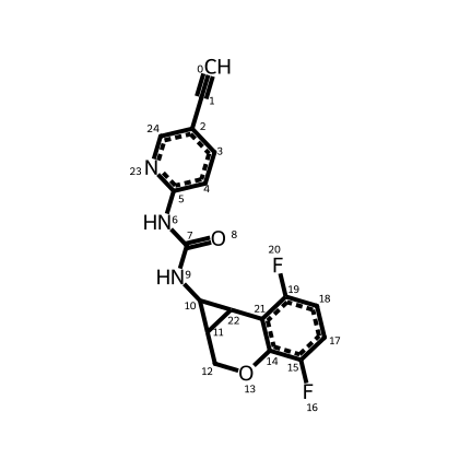 C#Cc1ccc(NC(=O)NC2C3COc4c(F)ccc(F)c4C32)nc1